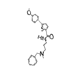 COc1ccc(-c2ccc(C(=O)NCCCN(C)Cc3ccccc3)s2)cc1